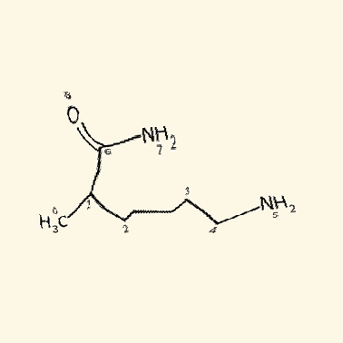 CC(CCCN)C(N)=O